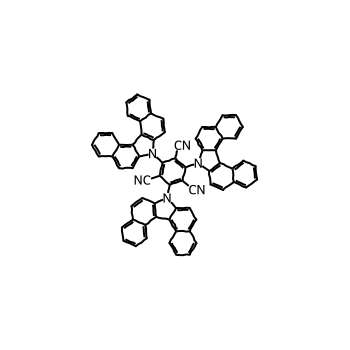 N#Cc1c(-n2c3ccc4ccccc4c3c3c4ccccc4ccc32)c(C#N)c(-n2c3ccc4ccccc4c3c3c4ccccc4ccc32)c(C#N)c1-n1c2ccc3ccccc3c2c2c3ccccc3ccc21